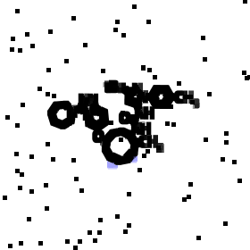 C=C1/C=C\C=C/C[C@H](Oc2ccc3nnc(N4CCCCCC4)n3c2)CC[C@@H]1NC(=O)Nc1cc(C(C)(C)C)nn1-c1ccc(C)cc1